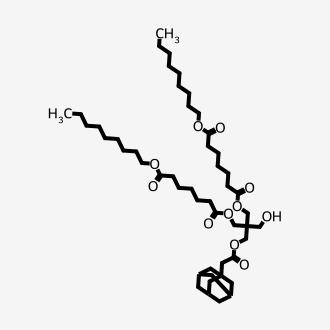 CCCCCCCCCOC(=O)CCCCCC(=O)OCC(CO)(COC(=O)CCCCCC(=O)OCCCCCCCCC)COC(=O)CC12CC3CC(CC(C3)C1)C2